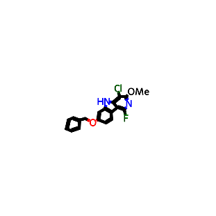 COc1nc(F)c2c([nH]c3cc(OCc4ccccc4)ccc32)c1Cl